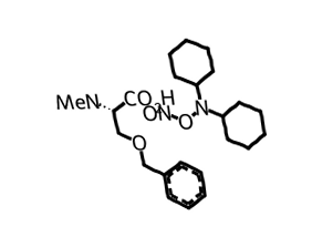 CN[C@@H](COCc1ccccc1)C(=O)O.O=NON(C1CCCCC1)C1CCCCC1